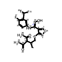 CC(CSc1nonc1/C(=N\O)Nc1ccc(F)c(C(F)F)c1)C(C(N)=O)C(N)=O